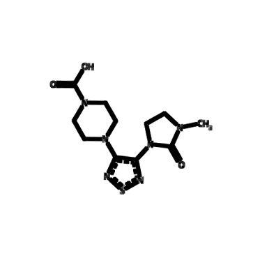 CN1CCN(c2nsnc2N2CCN(C(=O)O)CC2)C1=O